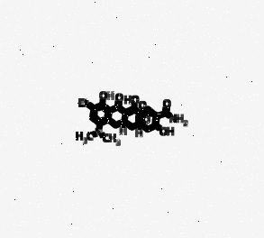 CCc1cc(N(C)C)c2c(c1O)C(=O)C1=C(O)[C@]34OC3(O)C(C(N)=O)=C(O)C[C@@H]4C[C@@H]1C2